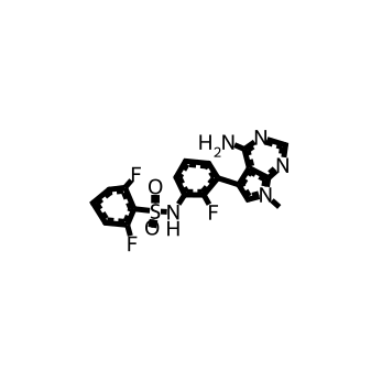 Cn1cc(-c2cccc(NS(=O)(=O)c3c(F)cccc3F)c2F)c2c(N)ncnc21